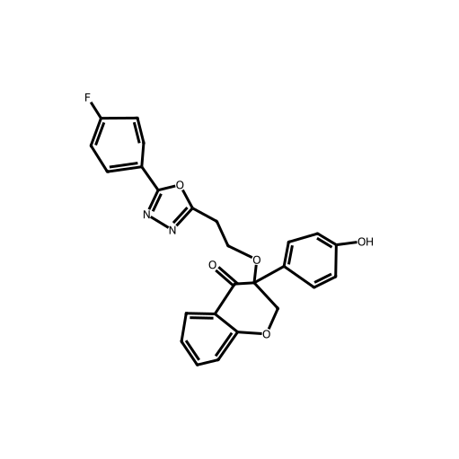 O=C1c2ccccc2OCC1(OCCc1nnc(-c2ccc(F)cc2)o1)c1ccc(O)cc1